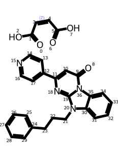 O=C(O)/C=C\C(=O)O.O=c1cc(-c2ccncc2)nc2n(CCCc3ccccc3)c3ccccc3n12